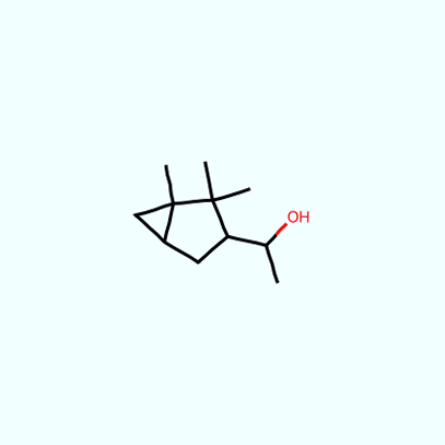 CC(O)C1CC2CC2(C)C1(C)C